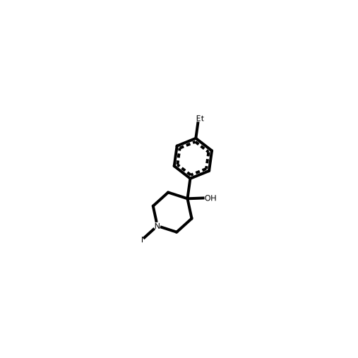 CCc1ccc(C2(O)CCN(I)CC2)cc1